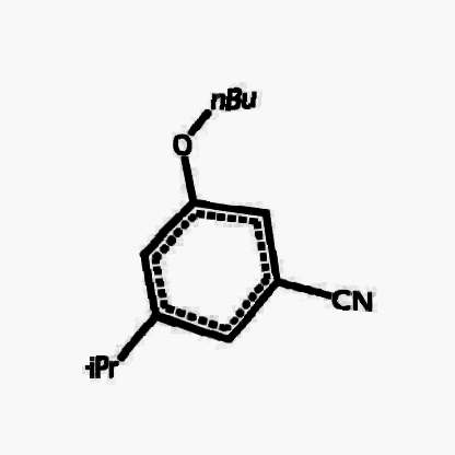 CCCCOc1cc(C#N)cc([C](C)C)c1